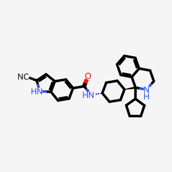 N#Cc1cc2cc(C(=O)N[C@H]3CC[C@H](C4(C5CCCC5)NCCc5ccccc54)CC3)ccc2[nH]1